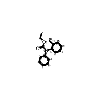 CCOC(=O)N(c1ccccc1)c1ccccc1C